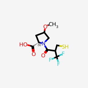 COC1C[C@@H](C(=O)O)N(C(=O)C(CS)C(F)(F)F)C1